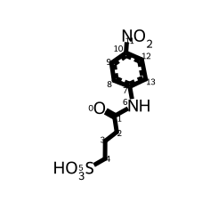 O=C(CCCS(=O)(=O)O)Nc1ccc([N+](=O)[O-])cc1